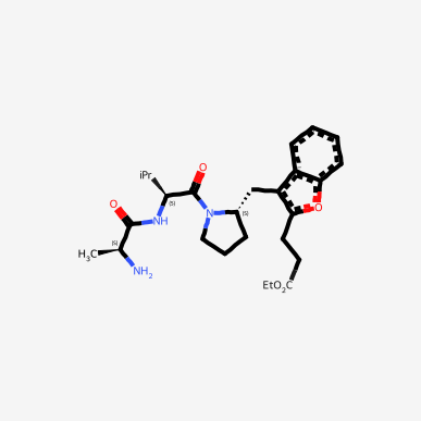 CCOC(=O)CCc1oc2ccccc2c1C[C@@H]1CCCN1C(=O)[C@@H](NC(=O)[C@H](C)N)C(C)C